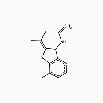 CC(C)=C1Sc2c(C)ccnc2C1NC=[SiH2]